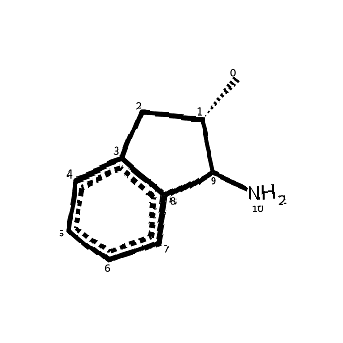 C[C@H]1Cc2ccccc2C1N